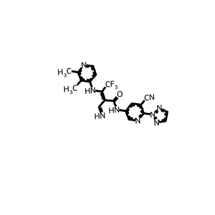 Cc1nccc(N/C(=C(\C=N)C(=O)Nc2cnc(-n3nccn3)c(C#N)c2)C(F)(F)F)c1C